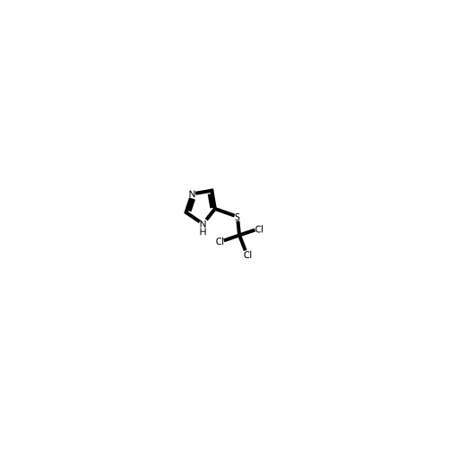 ClC(Cl)(Cl)Sc1cnc[nH]1